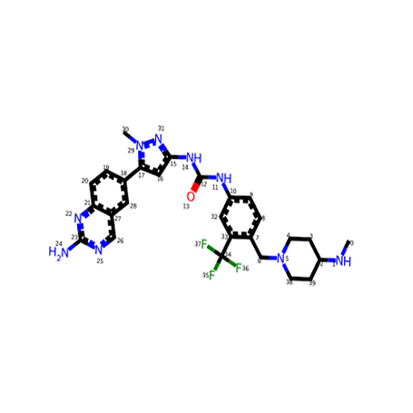 CNC1CCN(Cc2ccc(NC(=O)Nc3cc(-c4ccc5nc(N)ncc5c4)n(C)n3)cc2C(F)(F)F)CC1